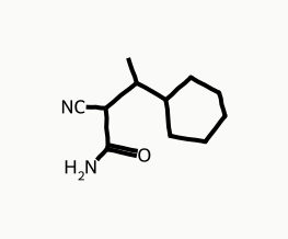 CC(C1CCCCC1)C(C#N)C(N)=O